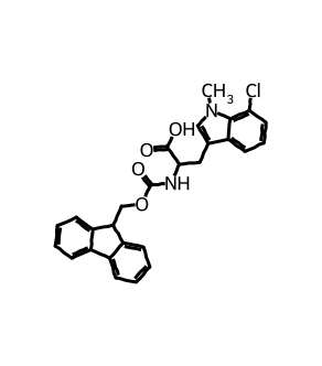 Cn1cc(CC(NC(=O)OCC2c3ccccc3-c3ccccc32)C(=O)O)c2cccc(Cl)c21